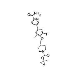 CC1(OC(=O)N2CCC(COc3c(F)cc(-c4cnc(C(N)=O)nc4)cc3F)CC2)CC1